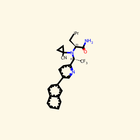 CC(C)C[C@@H](C(N)=O)N([C@@H](c1ccc(-c2ccc3ccccc3c2)cn1)C(F)(F)F)C1(C#N)CC1